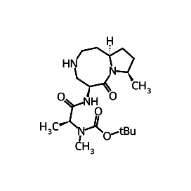 C[C@@H]1CC[C@@H]2CCNC[C@H](NC(=O)[C@H](C)N(C)C(=O)OC(C)(C)C)C(=O)N21